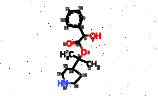 CC(C)(OC(=O)C(O)c1ccccc1)C1CCNCC1